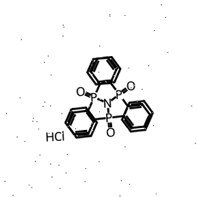 Cl.O=P(c1ccccc1)(c1ccccc1)N(P(=O)(c1ccccc1)c1ccccc1)P(=O)(c1ccccc1)c1ccccc1